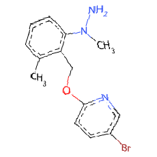 Cc1cccc(N(C)N)c1COc1ccc(Br)cn1